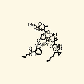 C=CCCCC1(S(=O)(=O)NC(=O)[C@@]2(NC(=O)[C@@H]3C[C@@H](Oc4nc5c(C(=O)NCC=C)cccc5n4C(C)C)CN3C(=O)[C@@H](NC(=O)OC(C)(C)C)C(=C)C)C[C@H]2CC)CC1